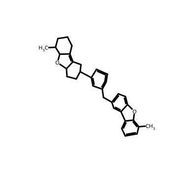 Cc1cccc2c1oc1ccc(CC3=C=C=CC(C4CCC5OC6C(=C5C4)CCCC6C)=C3)cc12